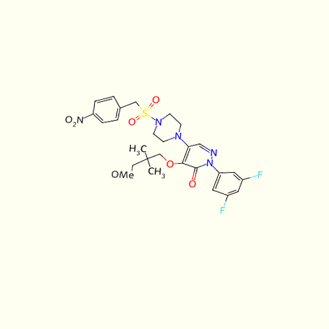 COCC(C)(C)COc1c(N2CCN(S(=O)(=O)Cc3ccc([N+](=O)[O-])cc3)CC2)cnn(-c2cc(F)cc(F)c2)c1=O